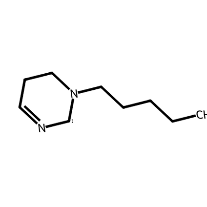 CCCCCN1[C]N=CCC1